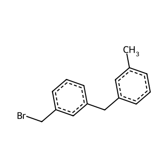 Cc1cccc(Cc2cccc(CBr)c2)c1